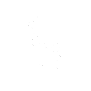 COCC1CCCN1CC(=O)Nc1cnc(C)c(NC(=O)c2cnn3cc(-c4cnn(C)c4)sc23)c1